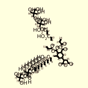 C=CC(=O)O.C=CC(=O)O.C=CC(=O)O.C=CC(=O)O.C=CC(=O)O.C=CC(=O)O.C=CC(=O)O.C=CC(=O)O.C=CC(=O)OC(=O)C1CC(C2CC(=O)OC2=O)C=C(C)C1C(=O)OC(=O)C=C.OCC(CO)(CO)CO.OCC(CO)(CO)CO.OCC(CO)(CO)CO.OCC(CO)(CO)CO